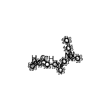 CC1(C)c2cc(-c3ccc4c(c3)c3ccccc3n4-c3ccc(-c4nc(-c5ccccc5)nc(-c5ccc(-c6ccccc6)cc5)n4)cc3)ccc2-c2cc3c(cc21)oc1ccccc13